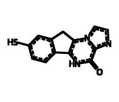 O=c1[nH]c2c(n3ccnc13)Cc1cc(S)ccc1-2